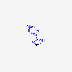 [c]1n[nH]c(-n2cncn2)n1